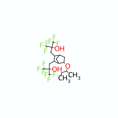 CCC(C)OC1CC2CC1C(CC(O)(C(F)(F)F)C(F)(F)F)C2CC(O)(C(F)(F)F)C(F)(F)F